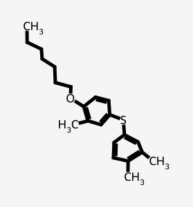 CCCCCCCOc1ccc(Sc2ccc(C)c(C)c2)cc1C